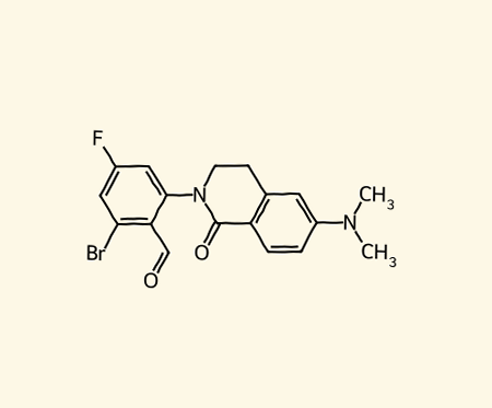 CN(C)c1ccc2c(c1)CCN(c1cc(F)cc(Br)c1C=O)C2=O